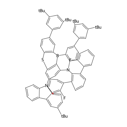 CC(C)(C)c1cc(-c2ccc3c(c2)B2c4cc(-c5cc(C(C)(C)C)cc(C(C)(C)C)c5)ccc4N(c4c(-c5ccccc5F)cccc4-c4ccccc4F)c4cc(-n5c6ccccc6c6cc(C(C)(C)C)ccc65)cc(c42)S3)cc(C(C)(C)C)c1